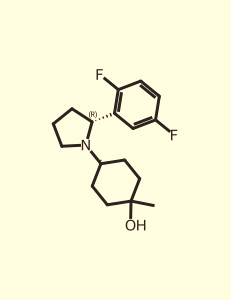 CC1(O)CC[C](N2CCC[C@@H]2c2cc(F)ccc2F)CC1